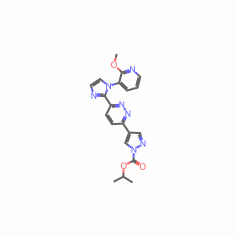 COc1ncccc1-n1ccnc1-c1ccc(-c2cnn(C(=O)OC(C)C)c2)nn1